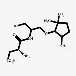 CC1CCC(C)(C)C1OCC(CO)NC(=O)[C@@H](N)CC(=O)O